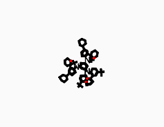 CC(C)(C)C1=CC(c2ccccc2)=C(N(c2ccc(C(C)(C)C)cc2)c2cc(N3c4ccc(C5CCCCC5)cc4C4(CCCCC4)C3(C)C)cc(N3c4ccc(C5CCCCC5)cc4C4(CCCCC4)C3(C)C)c2)CC1